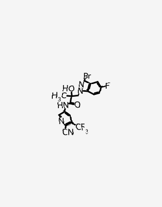 CC(O)(Cn1nc(Br)c2cc(F)ccc21)C(=O)Nc1cnc(C#N)c(C(F)(F)F)c1